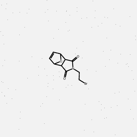 O=C1C2C3C=CC(O3)C2C(=O)N1CCBr